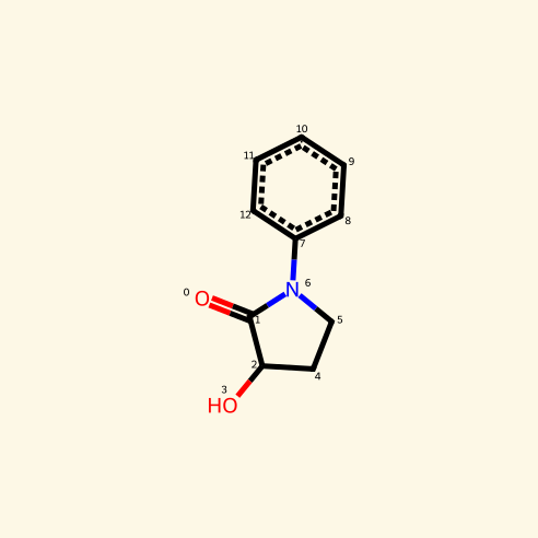 O=C1C(O)CCN1c1cc[c]cc1